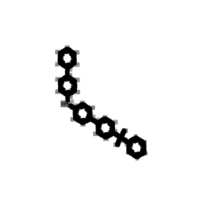 CC(C)(c1ccccc1)c1ccc(-c2ccc(Nc3ccc(-c4ccccc4)cc3)cc2)cc1